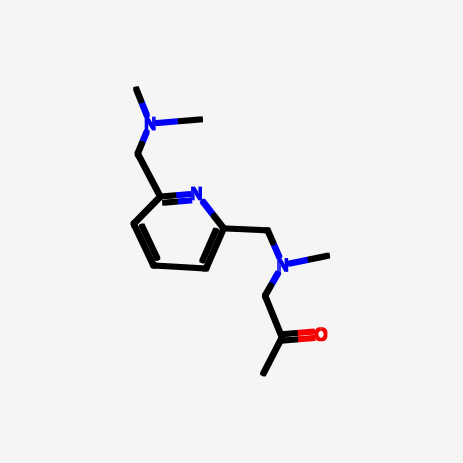 CC(=O)CN(C)Cc1cccc(CN(C)C)n1